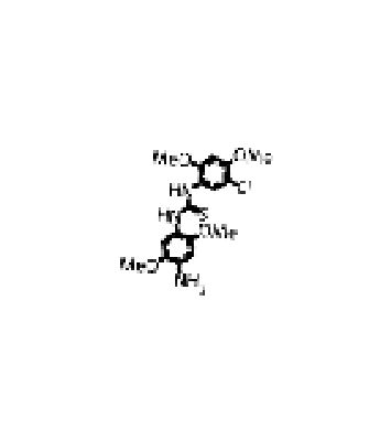 COc1cc(NC(=S)Nc2cc(Cl)c(OC)cc2OC)c(OC)cc1N